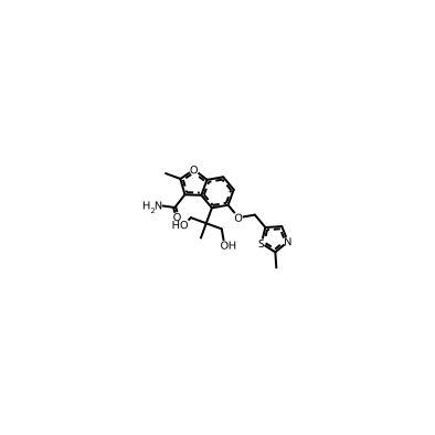 Cc1ncc(COc2ccc3oc(C)c(C(N)=O)c3c2C(C)(CO)CO)s1